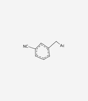 CC(=O)Cc1cccc(C#N)c1